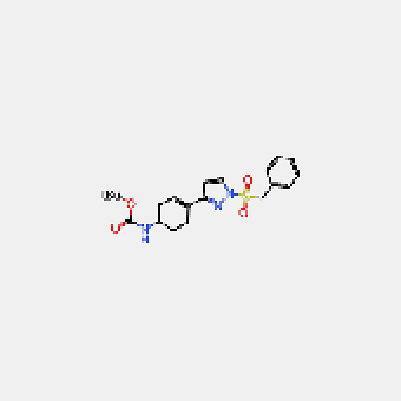 CC(C)(C)OC(=O)NC1CC=C(c2ccn(S(=O)(=O)Cc3ccccc3)n2)CC1